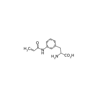 C=CC(=O)Nc1cccc(CC(N)C(=O)O)c1